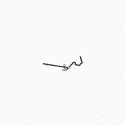 CCCCC/C=C\C/C=C\C/C=C\C/C=C\CCCCOC(CO)COC(=O)CCCCCCCCCCCCCCCCC